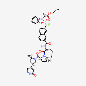 CCCOC(=O)[C@H](C)NP(=O)(Oc1ccccc1)C(F)c1ccc2ccc(C(=O)N[C@H]3CCCC[C@H]4CC[C@@H](C(=O)N5C[C@@H](c6cc[nH]c(=O)c6)CC56CC6)N4C3=O)cc2c1